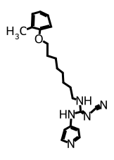 Cc1ccccc1OCCCCCCCCN/C(=N\C#N)Nc1ccncc1